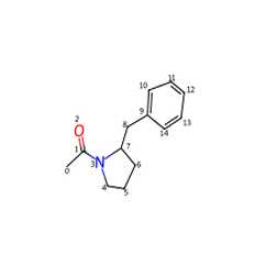 CC(=O)N1CCCC1Cc1ccccc1